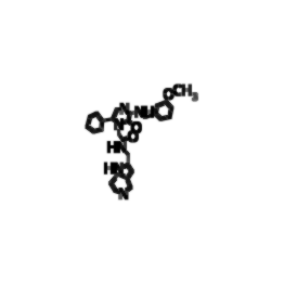 COc1cccc(CNc2ncc(-c3ccccc3)n(CC(=O)NCc3cc4cnccc4[nH]3)c2=O)c1